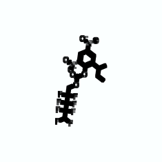 CCC(C)c1cc([N+](=O)[O-])cc([N+](=O)[O-])c1OC(=O)OCC(F)(F)C(F)(F)C(F)(F)C(F)F